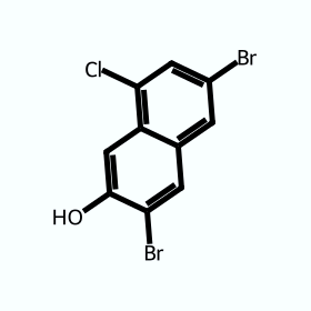 Oc1cc2c(Cl)cc(Br)cc2cc1Br